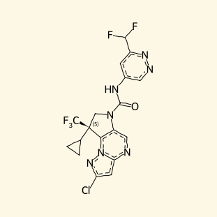 O=C(Nc1cnnc(C(F)F)c1)N1C[C@](C2CC2)(C(F)(F)F)c2c1cnc1cc(Cl)nn21